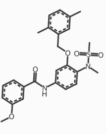 COc1cccc(C(=O)Nc2ccc(N(C)S(C)(=O)=O)c(OCc3cc(C)ccc3C)c2)c1